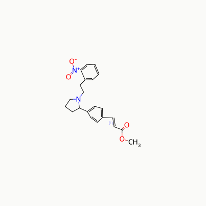 COC(=O)/C=C/c1ccc(C2CCCN2CCc2ccccc2[N+](=O)[O-])cc1